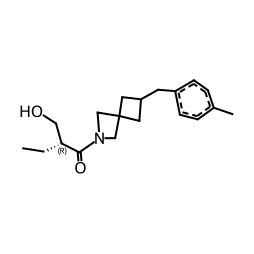 CC[C@H](CO)C(=O)N1CC2(CC(Cc3ccc(C)cc3)C2)C1